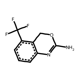 NC1=Nc2cccc(C(F)(F)F)c2CO1